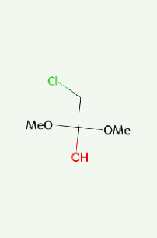 COC(O)(CCl)OC